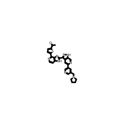 CC(=O)c1ccc(-c2nccc3[nH]c(-c4n[nH]c5cnc(-c6cncc(CN7CCCC7)c6)cc45)nc23)s1